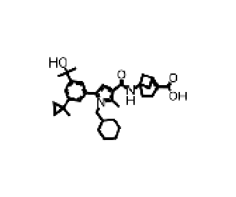 Cc1c(C(=O)NC23CCC(C(=O)O)=C(C2)C3)cc(-c2cc(C(C)(C)O)cc(C3(C)CC3)c2)n1CC1CCCCC1